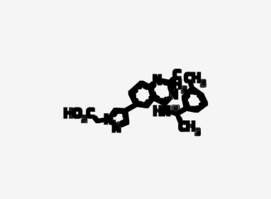 Cc1cccc([C@@H](C)Nc2nc(C)nc3ccc(-c4cnn(CC(=O)O)c4)cc23)c1